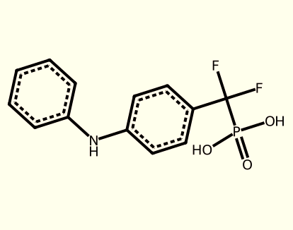 O=P(O)(O)C(F)(F)c1ccc(Nc2ccccc2)cc1